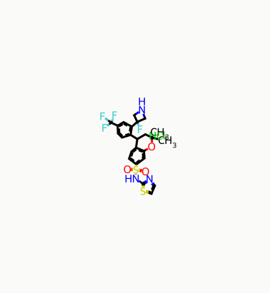 CC1(C)CC(c2ccc(C(F)(F)F)cc2C2(F)CNC2)c2ccc(S(=O)(=O)Nc3nccs3)cc2O1.Cl